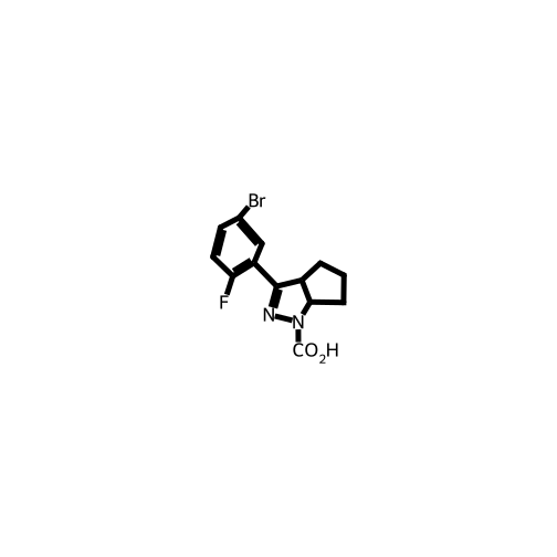 O=C(O)N1N=C(c2cc(Br)ccc2F)C2CCCC21